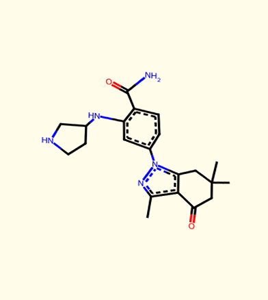 Cc1nn(-c2ccc(C(N)=O)c(NC3CCNC3)c2)c2c1C(=O)CC(C)(C)C2